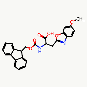 COc1ccc2nc(CC(NC(=O)OCC3c4ccccc4-c4ccccc43)C(=O)O)oc2c1